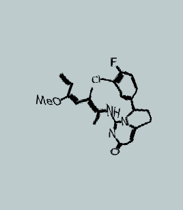 C=C/C(=C\C(C)=C(/C)Nc1nc(=O)cc2n1C(c1ccc(F)c(Cl)c1)CC2)OC